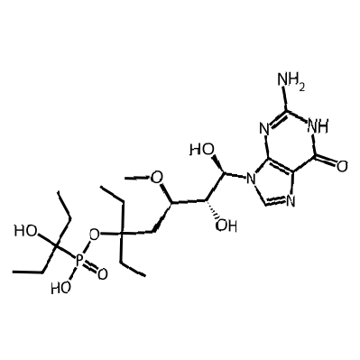 CCC(CC)(C[C@@H](OC)[C@@H](O)[C@@H](O)n1cnc2c(=O)[nH]c(N)nc21)OP(=O)(O)C(O)(CC)CC